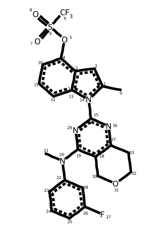 Cc1cc2c(OS(=O)(=O)C(F)(F)F)cccc2n1-c1nc2c(c(N(C)c3cccc(F)c3)n1)COCC2